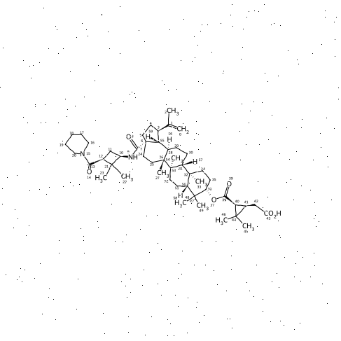 C=C(C)[C@@H]1CC[C@]2(C(=O)N[C@@H]3C[C@H](C(=O)N4CCCCC4)C3(C)C)CC[C@]3(C)[C@H](CC[C@@H]4[C@@]5(C)CC[C@H](OC(=O)[C@H]6[C@@H](CC(=O)O)C6(C)C)C(C)(C)[C@@H]5CC[C@]43C)[C@@H]12